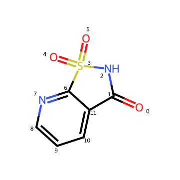 O=C1NS(=O)(=O)c2ncccc21